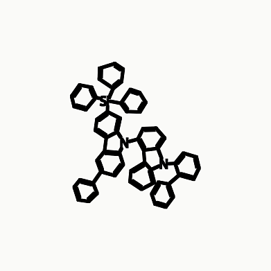 c1ccc(-c2ccc3c(c2)c2ccc([Si](c4ccccc4)(c4ccccc4)c4ccccc4)cc2n3-c2cccc3c2c2ccccc2n3-c2ccccc2-c2ccccc2)cc1